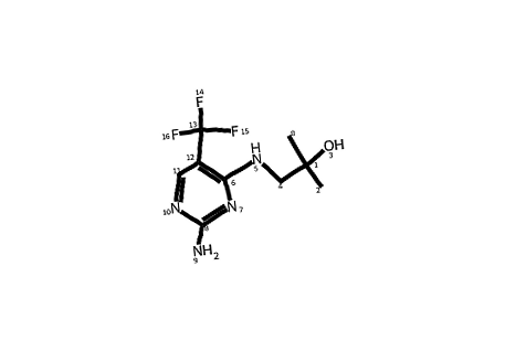 CC(C)(O)CNc1nc(N)ncc1C(F)(F)F